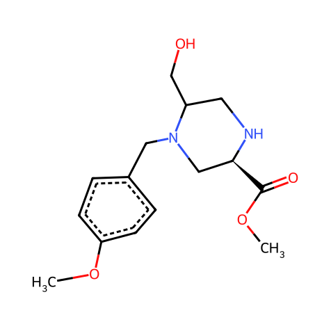 COC(=O)[C@H]1CN(Cc2ccc(OC)cc2)C(CO)CN1